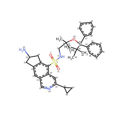 CC(C)(CNS(=O)(=O)c1c2c(cc3cnc(C4CC4)cc13)CC(N)C2)O[Si](c1ccccc1)(c1ccccc1)C(C)(C)C